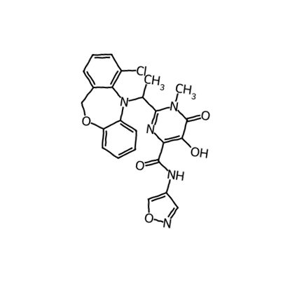 CC(c1nc(C(=O)Nc2cnoc2)c(O)c(=O)n1C)N1c2ccccc2OCc2cccc(Cl)c21